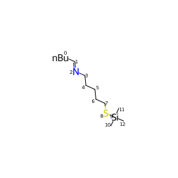 CCCCC=NCCCCCS[Si](C)(C)C